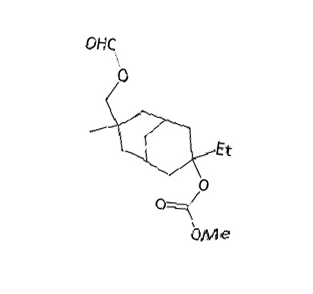 CCC1(OC(=O)OC)CC2CC(CC(C)(COC=O)C2)C1